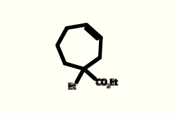 CCOC(=O)C1(CC)CC=CCCC1